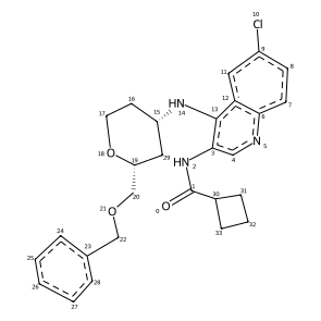 O=C(Nc1cnc2ccc(Cl)cc2c1N[C@H]1CCO[C@@H](COCc2ccccc2)C1)C1CCC1